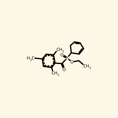 CCOP(=O)(C(=O)c1c(C)cc(C)cc1C)C1C=CC=CC1